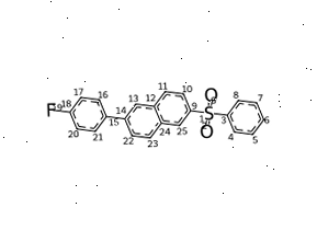 O=S(=O)(c1ccccc1)c1ccc2cc(-c3ccc(F)cc3)ccc2c1